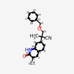 CCc1cc2ccc(C(C)(C#N)COCc3ccccc3)cc2[nH]c1=O